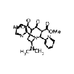 COC(=O)C1C(=O)C(C(=O)OC)C2(c3ccccn3)CC(N(C)C)N2C1c1ccccn1